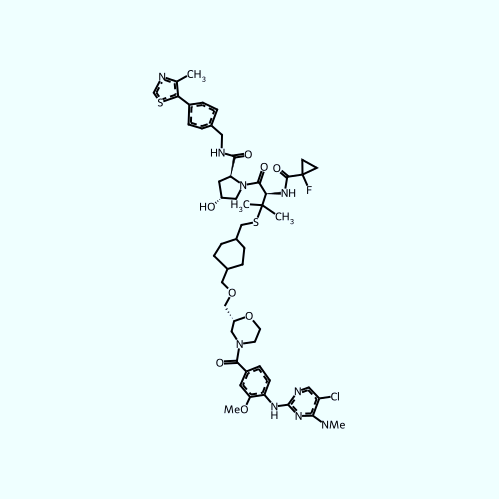 CNc1nc(Nc2ccc(C(=O)N3CCO[C@@H](COCC4CCC(CSC(C)(C)[C@H](NC(=O)C5(F)CC5)C(=O)N5C[C@H](O)C[C@H]5C(=O)NCc5ccc(-c6scnc6C)cc5)CC4)C3)cc2OC)ncc1Cl